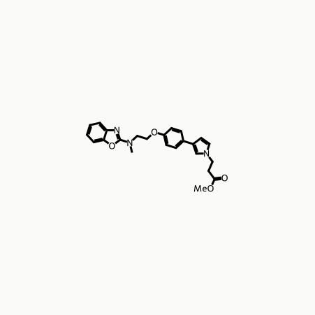 COC(=O)CCn1ccc(-c2ccc(OCCN(C)c3nc4ccccc4o3)cc2)c1